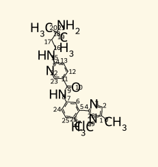 Cc1cnc(-c2cc(NC(=O)c3ccc(NCCC(C)(C)N)nc3)ccc2Cl)n1C